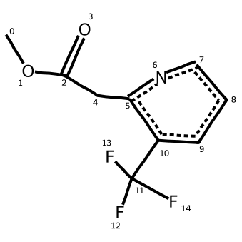 COC(=O)Cc1ncccc1C(F)(F)F